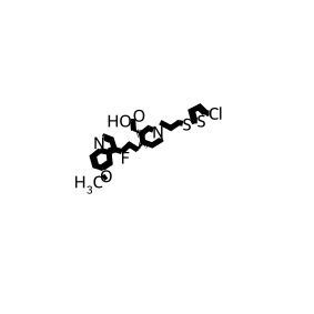 COc1ccc2nccc(C(F)CC[C@@H]3CCN(CCCSc4ccc(Cl)s4)C[C@@H]3CC(=O)O)c2c1